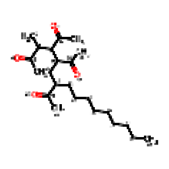 [CH2]C(C(C)=O)C(C(C)=O)C(CC(CCCCCCCCC)C(C)=O)C(C)=O